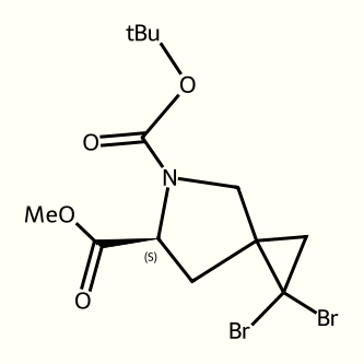 COC(=O)[C@@H]1CC2(CN1C(=O)OC(C)(C)C)CC2(Br)Br